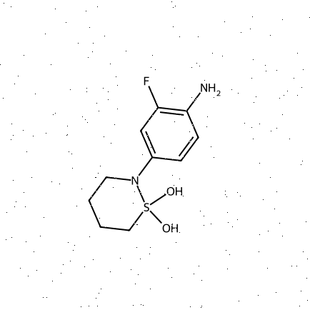 Nc1ccc(N2CCCCS2(O)O)cc1F